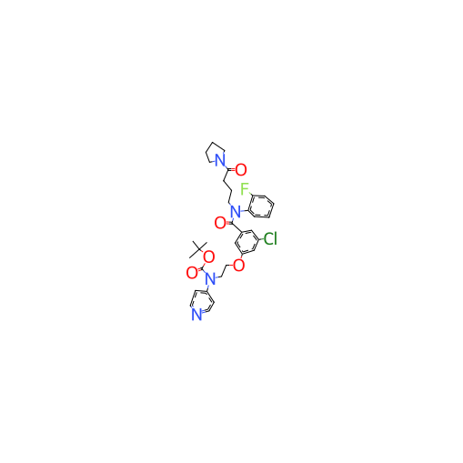 CC(C)(C)OC(=O)N(CCOc1cc(Cl)cc(C(=O)N(CCCC(=O)N2CCCC2)c2ccccc2F)c1)c1ccncc1